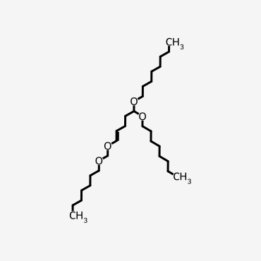 CCCCCCCCOC(CCC=COCOCCCCCCC)OCCCCCCCC